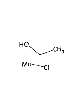 CCO.[Cl][Mn]